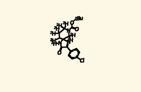 [2H]C1C([2H])([2H])C([2H])([2H])N(C(=O)OC(C)(C)C)C([2H])([2H])C12N=C(c1ccc(Cl)cc1)C(=O)N2[2H]